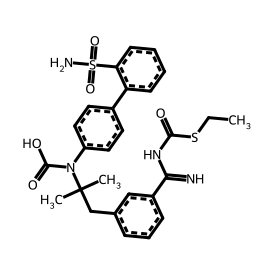 CCSC(=O)NC(=N)c1cccc(CC(C)(C)N(C(=O)O)c2ccc(-c3ccccc3S(N)(=O)=O)cc2)c1